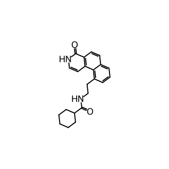 O=C(NCCc1cccc2ccc3c(=O)[nH]ccc3c12)C1CCCCC1